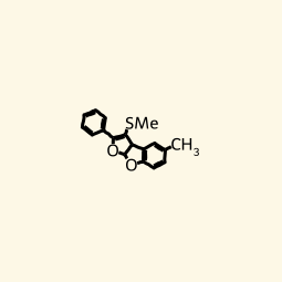 CSC1=C(c2ccccc2)OC2Oc3ccc(C)cc3C12